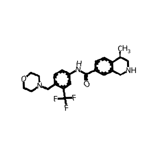 C[C@H]1CNCc2cc(C(=O)Nc3ccc(CN4CCOCC4)c(C(F)(F)F)c3)ccc21